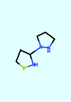 [CH]1CSNC1N1CCCN1